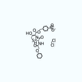 ClCCl.O=C(COc1ccccc1)NC1C(=O)N2C(C(=O)OCc3ccc([N+](=O)[O-])cc3)=C(O)CS[C@@H]12